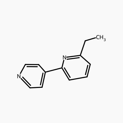 CCc1cccc(-c2ccncc2)n1